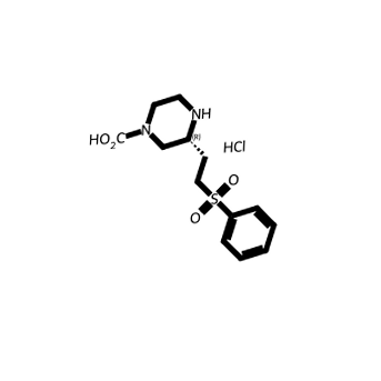 Cl.O=C(O)N1CCN[C@H](CCS(=O)(=O)c2ccccc2)C1